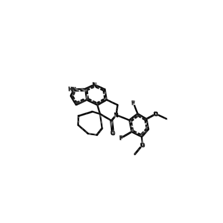 COc1cc(OC)c(F)c(N2Cc3cnc4[nH]ccc4c3C3(CCCCCC3)C2=O)c1F